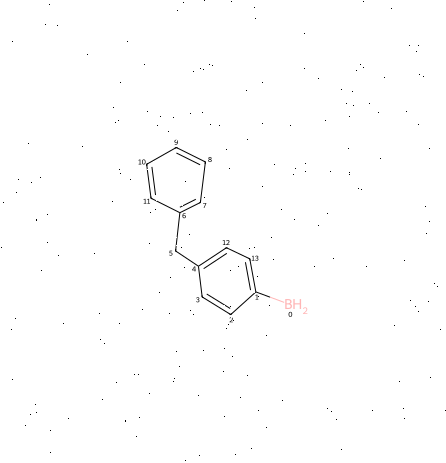 Bc1ccc(Cc2ccccc2)cc1